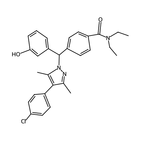 CCN(CC)C(=O)c1ccc(C(c2cccc(O)c2)n2nc(C)c(-c3ccc(Cl)cc3)c2C)cc1